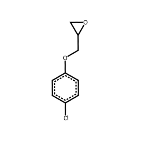 Clc1ccc(OCC2CO2)cc1